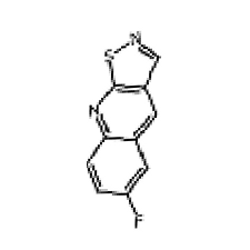 Fc1ccc2nc3sncc3cc2c1